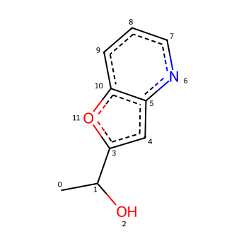 CC(O)c1cc2ncccc2o1